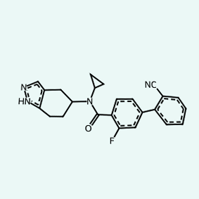 N#Cc1ccccc1-c1ccc(C(=O)N(C2CC2)C2CCc3[nH]ncc3C2)c(F)c1